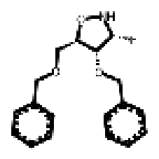 F[C@H]1NO[C@H](COCc2ccccc2)[C@H]1OCc1ccccc1